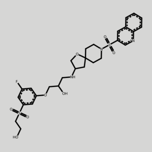 O=S(=O)(CCO)c1cc(F)cc(OCC(O)CNC2COC3(CCN(S(=O)(=O)c4cnc5ccccc5c4)CC3)C2)c1